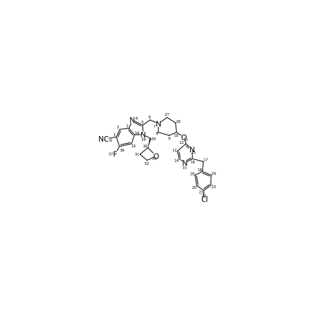 N#Cc1cc2nc(CN3CCC(Oc4ccnc(Cc5ccc(Cl)cc5)n4)CC3)n(C[C@@H]3CCO3)c2cc1F